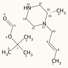 CC(C)(C)OC=O.CC=CCN1CCNC[C@@H]1C